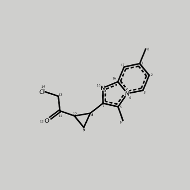 Cc1ccn2c(C)c(C3CC3C(=O)CCl)nc2c1